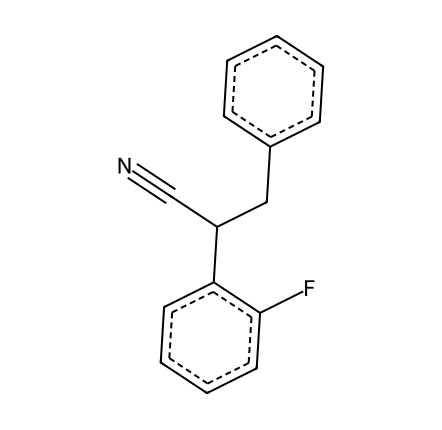 N#CC(Cc1ccccc1)c1ccccc1F